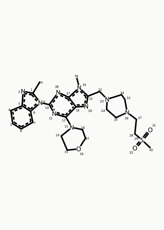 Cc1nc2ccccc2n1-c1nc(N2CCOCC2)c2nc(CN3CCN(CCS(C)(=O)=O)CC3)n(C)c2n1